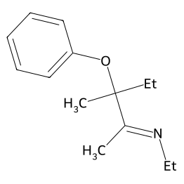 CCN=C(C)C(C)(CC)Oc1ccccc1